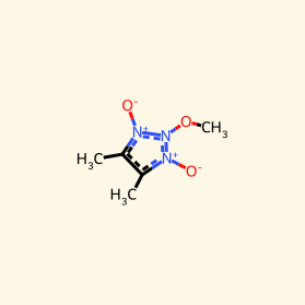 COn1[n+]([O-])c(C)c(C)[n+]1[O-]